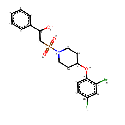 O=S(=O)(CC(O)c1ccccc1)N1CCC(Oc2ccc(F)cc2Br)CC1